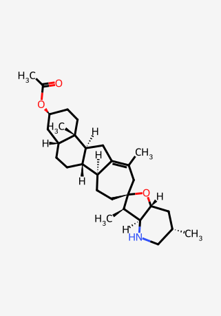 CC(=O)O[C@H]1CC[C@@]2(C)[C@H](CC[C@H]3[C@@H]4CC[C@@]5(CC(C)=C4C[C@@H]32)O[C@@H]2C[C@H](C)CN[C@H]2[C@H]5C)C1